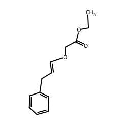 CCOC(=O)COC=CCc1ccccc1